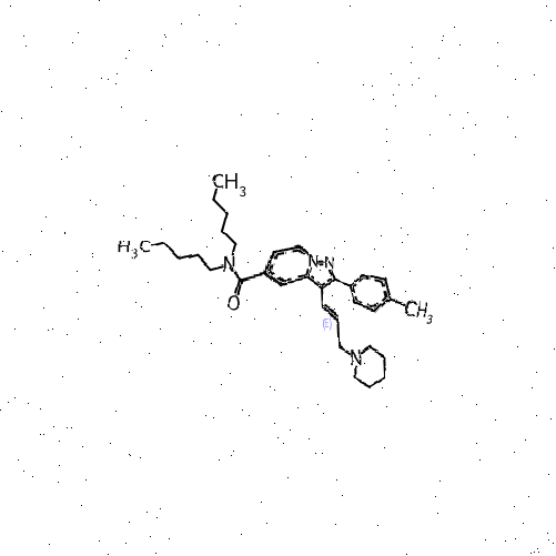 CCCCCN(CCCCC)C(=O)c1ccn2nc(-c3ccc(C)cc3)c(/C=C/CN3CCCCC3)c2c1